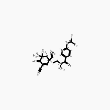 C=C[C@@]1(CCN(C)C(=O)c2ccc(OC(F)F)nc2)C=C(C#N)C(=O)C(C)(C)C1